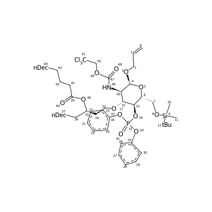 C=CCO[C@H]1O[C@H](CO[Si](C)(C)C(C)(C)C)[C@@H](OP(=O)(Oc2ccccc2)Oc2ccccc2)[C@H](OCC[C@@H](CCCCCCCCCCC)OC(=O)CCCCCCCCCCCCC)[C@H]1NC(=O)OCC(Cl)(Cl)Cl